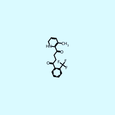 CC1=C(C(=O)CCC(=O)c2ccccc2C(F)(F)F)NCC=C1